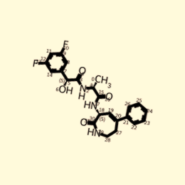 C[C@H](NC(=O)[C@@H](O)c1cc(F)cc(F)c1)C(=O)N[C@H]1C=C(c2ccccc2)CCNC1=O